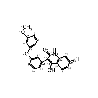 COc1cccc(Oc2cccc(-c3c(O)c4ccc(Cl)cc4[nH]c3=O)c2)c1